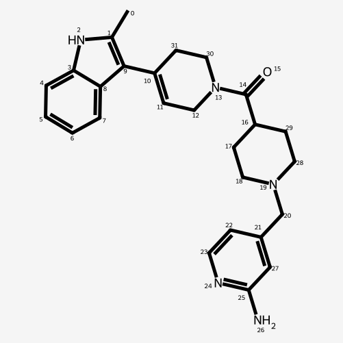 Cc1[nH]c2ccccc2c1C1=CCN(C(=O)C2CCN(Cc3ccnc(N)c3)CC2)CC1